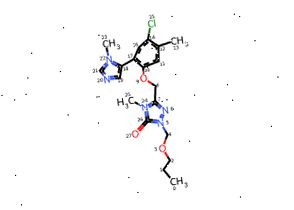 CCCOCn1nc(COc2cc(C)c(Cl)cc2-c2cncn2C)n(C)c1=O